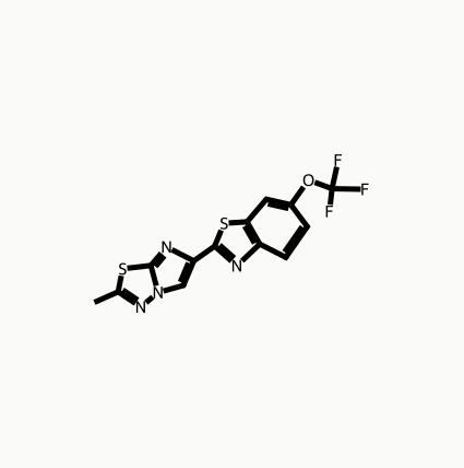 Cc1nn2cc(-c3nc4ccc(OC(F)(F)F)cc4s3)nc2s1